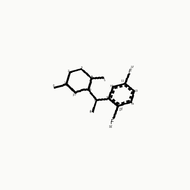 CC1CCC(C)C(C(C)c2cc(F)ccc2F)C1